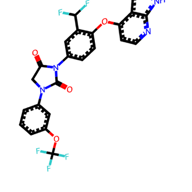 O=C1CN(c2cccc(OC(F)(F)F)c2)C(=O)N1c1ccc(Oc2ccnc3[nH]ccc23)c(C(F)F)c1